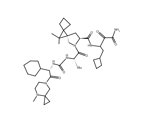 CN1CCN(C(=O)[C@@H](NC(=O)N[C@H](C(=O)N2C[C@]3(C[C@H]2C(=O)NC(CC2CCC2)C(=O)C(N)=O)C(C)(C)C32CCC2)C(C)(C)C)C2CCCCC2)CC12CC2